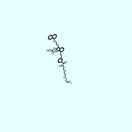 NCCOCCOCCNC(=O)c1cccc(CCc2cccc3c(CCCOc4cccc5ccccc45)c(OC(=O)O)[nH]c23)c1